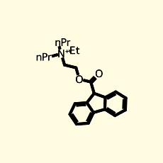 CCC[N+](CC)(CCC)CCOC(=O)C1c2ccccc2-c2ccccc21